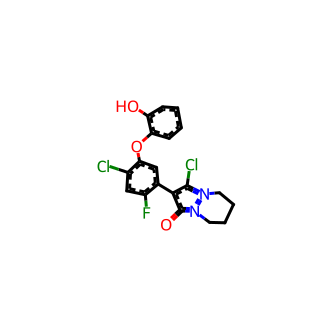 O=c1c(-c2cc(Oc3ccccc3O)c(Cl)cc2F)c(Cl)n2n1CCCC2